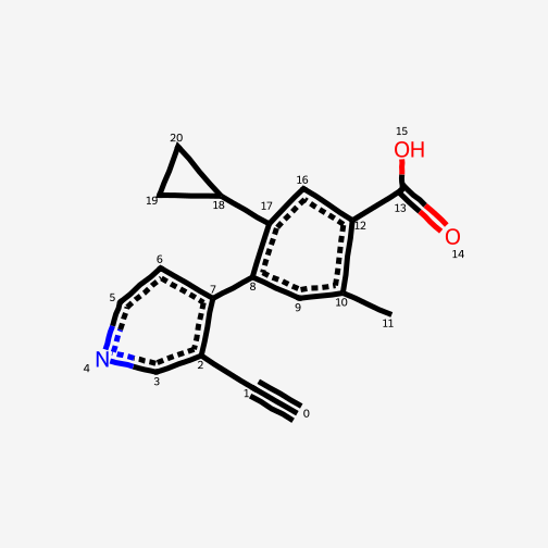 C#Cc1cnccc1-c1cc(C)c(C(=O)O)cc1C1CC1